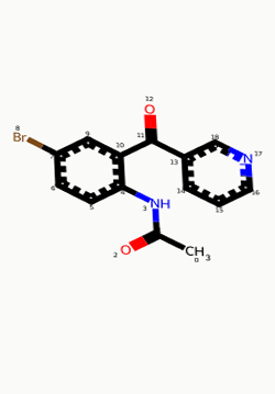 CC(=O)Nc1ccc(Br)cc1C(=O)c1cccnc1